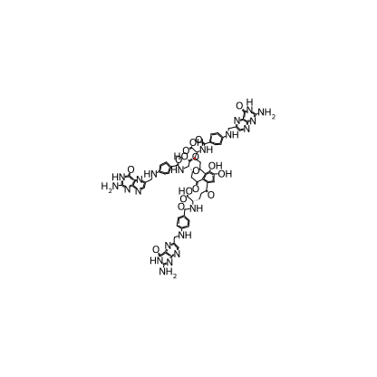 Nc1nc2ncc(CNc3ccc(C(=O)N[C@@H](CCC(=O)c4cc(O)c(O)c(C(=O)CC[C@H](NC(=O)c5ccc(NCc6cnc7nc(N)[nH]c(=O)c7n6)cc5)C(=O)O)c4C(=O)CC[C@H](NC(=O)c4ccc(NCc5cnc6nc(N)[nH]c(=O)c6n5)cc4)C(=O)O)C(=O)O)cc3)nc2c(=O)[nH]1